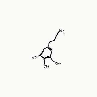 NCCc1cc(O)c(O)c(O)c1